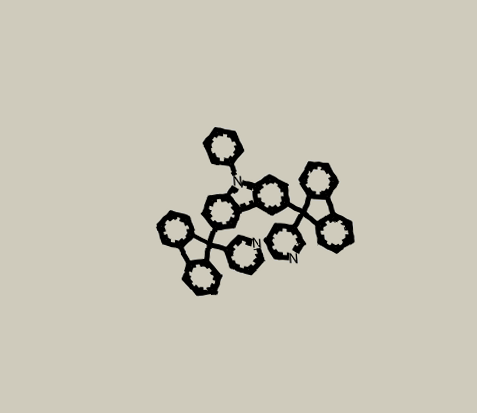 c1ccc(-n2c3ccc(C4(c5cccnc5)c5ccccc5-c5ccccc54)cc3c3cc(C4(c5cccnc5)c5ccccc5-c5ccccc54)ccc32)cc1